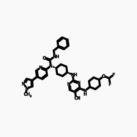 Cn1cc(-c2ccc(N(C(=O)NCc3ccccc3)[C@H]3CC[C@H](Nc4ncc(C#N)c(NC5CCC(OC(F)F)CC5)n4)CC3)nc2)cn1